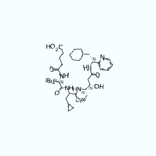 CC[C@H](C)[C@H](NC(=O)CCCC(=O)O)C(=O)NC(CC1CC1)C(=O)N[C@@H](CC(C)C)[C@@H](O)CC(=O)N[C@H](CC1CCCCC1)c1ccccn1